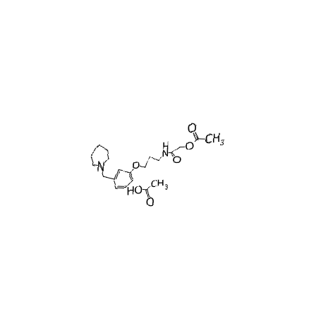 CC(=O)O.CC(=O)OCC(=O)NCCCOc1cccc(CN2CCCCC2)c1